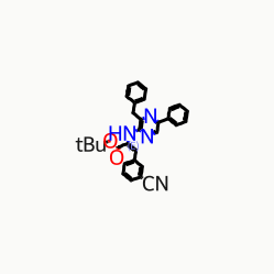 CC(C)(C)OC(=O)/C(=C\c1cccc(C#N)c1)Nc1ncc(-c2ccccc2)nc1Cc1ccccc1